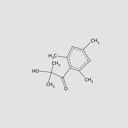 Cc1cc(C)c(C(=O)C(C)(C)O)c(C)c1